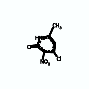 Cc1cc(Cl)c([N+](=O)[O-])c(=O)[nH]1